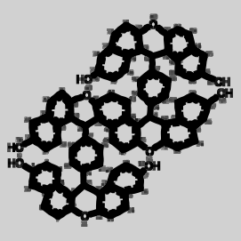 Oc1ccc2c3c(ccc2c1)Oc1ccc2cc(O)ccc2c1C3c1ccc(C2c3c(ccc4cc(O)ccc34)Oc3ccc4c5c(ccc4c32)Oc2ccc3cc(O)ccc3c2C5c2ccc(C3c4c(ccc5cc(O)ccc45)Oc4ccc5cc(O)ccc5c43)cc2)cc1